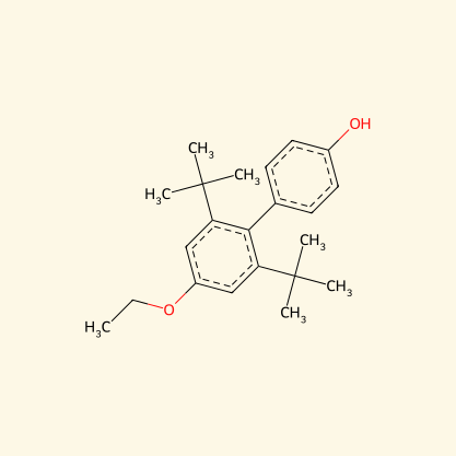 CCOc1cc(C(C)(C)C)c(-c2ccc(O)cc2)c(C(C)(C)C)c1